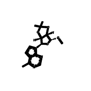 CO[C@@H]1O[C@@H](n2ccc3c(C)ncnc32)[C@@H]2OC(C)(C)O[C@H]12